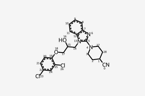 N#CC1CCN(c2nc3ccccc3n2CC(O)COc2ccc(Cl)cc2Cl)CC1